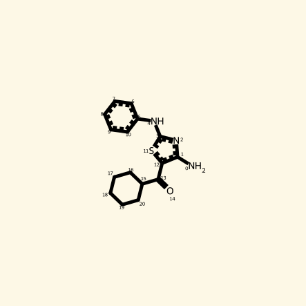 Nc1nc(Nc2ccccc2)sc1C(=O)C1CCCCC1